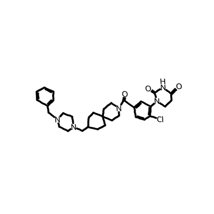 O=C1CCN(c2cc(C(=O)N3CCC4(CCC(CN5CCN(Cc6ccccc6)CC5)CC4)CC3)ccc2Cl)C(=O)N1